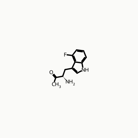 CC(=O)[C@@H](N)Cc1c[nH]c2cccc(F)c12